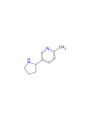 Cc1ccc(C2CCCN2)cn1